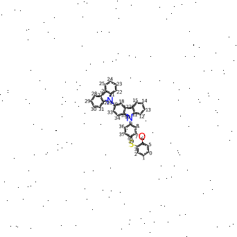 c1ccc2c(c1)Oc1cc(-n3c4ccccc4c4cc(-n5c6ccccc6c6ccccc65)ccc43)ccc1S2